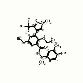 CCOc1c(C(=O)N[C@@H](C)c2ccc(F)c(C)c2)cc(CBr)cc1-c1cn(C)nc1C(F)(F)F